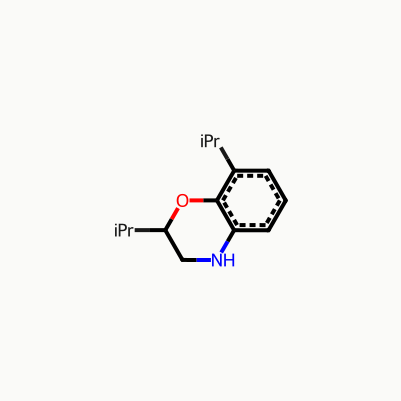 CC(C)c1cccc2c1OC(C(C)C)CN2